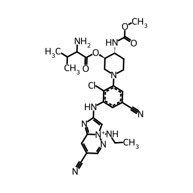 CCN[N+]12C=C(Nc3cc(C#N)cc(N4CC[C@@H](NC(=O)OC)[C@H](OC(=O)C(N)C(C)C)C4)c3Cl)N=C1C=C(C#N)C=N2